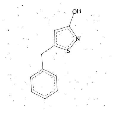 Oc1cc(Cc2ccccc2)sn1